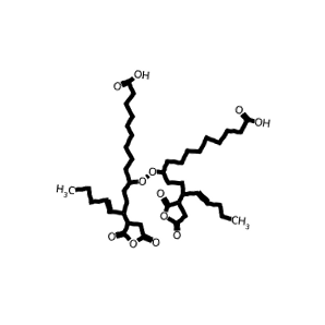 CCC/C=C/C(CCC(CCCCCCCCC(=O)O)OOC(CCCCCCCCC(=O)O)CCC(/C=C/CCC)C1CC(=O)OC1=O)C1CC(=O)OC1=O